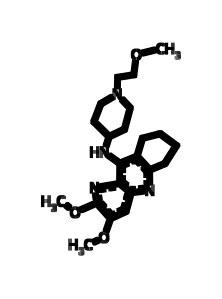 COCCN1CCC(Nc2c3c(nc4cc(OC)c(OC)nc24)CCCC3)CC1